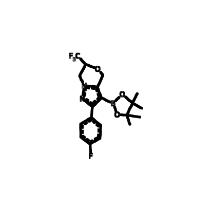 CC1(C)OB(c2c(-c3ccc(F)cc3)nn3c2COC(C(F)(F)F)C3)OC1(C)C